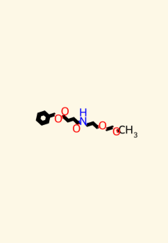 COCCOCCCNC(=O)CCC(=O)OCc1ccccc1